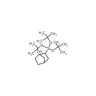 CC(C)(C)O[Si](OC(C)(C)C)(OC(C)(C)C)C1CC2CCC1C2